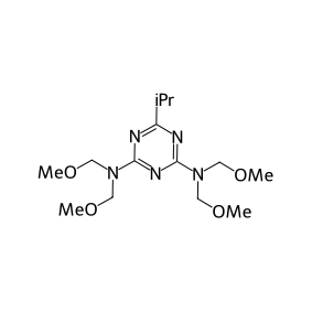 COCN(COC)c1nc(C(C)C)nc(N(COC)COC)n1